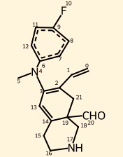 C=CC1=C(N(C)c2ccc(F)cc2)C=C2CCNCC2(C=O)C1